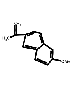 C=C(C)c1ccc2cc(OC)ccc2c1